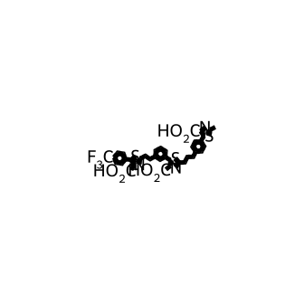 Cc1nc(C(=O)O)c(-c2ccc(CCCc3nc(C(=O)O)c(-c4cccc(CCc5nc(C(=O)O)c(-c6ccc(C(F)(F)F)cc6)s5)c4)s3)cc2)s1